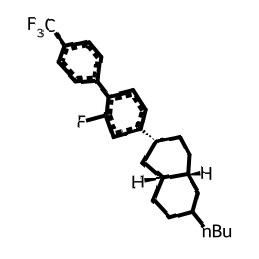 CCCCC1CC[C@@H]2C[C@H](c3ccc(-c4ccc(C(F)(F)F)cc4)c(F)c3)CC[C@@H]2C1